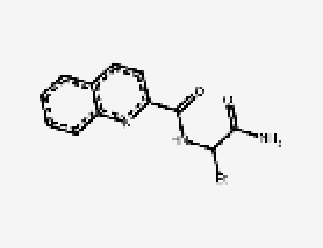 CCC(NC(=O)c1ccc2ccccc2n1)C(N)=O